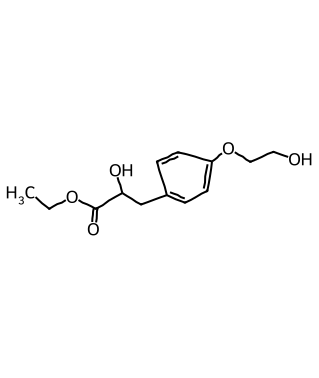 CCOC(=O)C(O)Cc1ccc(OCCO)cc1